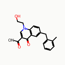 Cc1ccccc1Cc1ccc2c(c1)c(=O)c(C(=O)N=O)cn2CCO